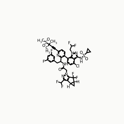 CC(C)(C#Cc1ccc(-c2ccc(Cl)c3c(NS(=O)(=O)C4CC4)nn(CC(F)F)c23)c(C(Cc2cc(F)cc(F)c2)NC(=O)Cn2nc(C(F)F)c3c2C(F)(F)[C@@H]2C[C@H]32)n1)S(C)(=O)=O